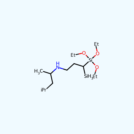 CCO[Si](OCC)(OCC)C([SiH3])CCNC(C)CC(C)C